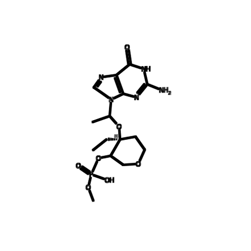 CC[C@]1(OC(C)n2cnc3c(=O)[nH]c(N)nc32)CCOCC1OP(=O)(O)OC